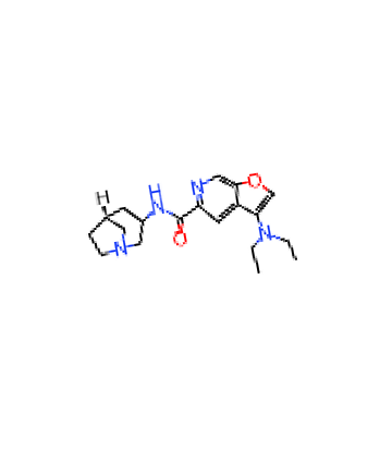 CCN(CC)c1coc2cnc(C(=O)N[C@@H]3C[C@H]4CCN(C4)C3)cc12